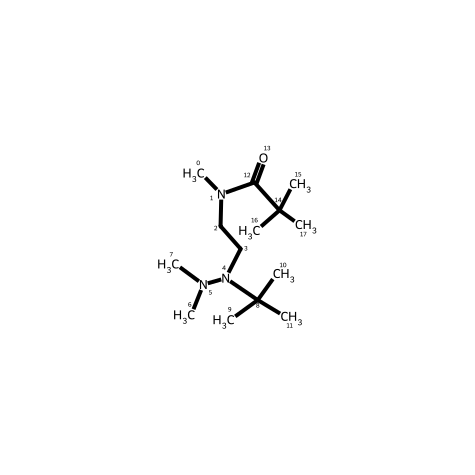 CN(CCN(N(C)C)C(C)(C)C)C(=O)C(C)(C)C